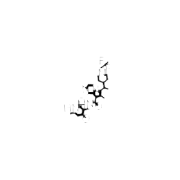 COc1cc(C)[nH]c(=O)c1CNC(=O)c1c(C)c(C(C)C2CCN(CC(C)(F)F)CC2)n2ccncc12